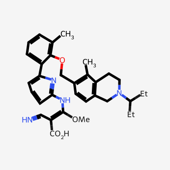 CCC(CC)N1CCc2c(ccc(COc3c(C)cccc3-c3cccc(N/C(OC)=C(\C=N)C(=O)O)n3)c2C)C1